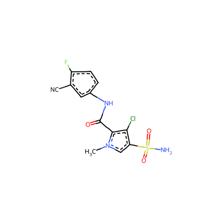 Cn1cc(S(N)(=O)=O)c(Cl)c1C(=O)Nc1ccc(F)c(C#N)c1